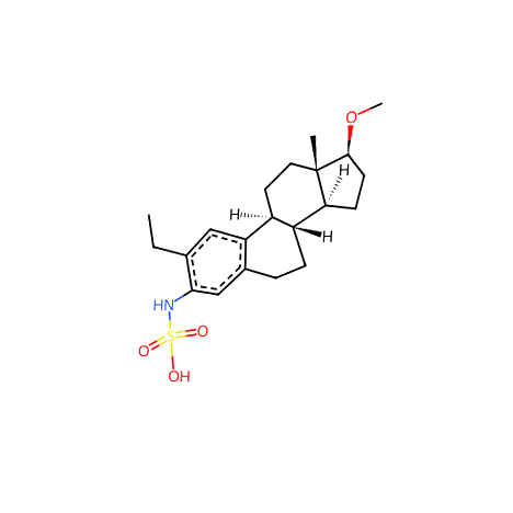 CCc1cc2c(cc1NS(=O)(=O)O)CC[C@@H]1[C@@H]2CC[C@]2(C)[C@@H](OC)CC[C@@H]12